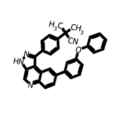 CC(C)(C#N)c1ccc(-c2n[nH]c3cnc4ccc(-c5cccc(Oc6ccccc6)c5)cc4c23)cc1